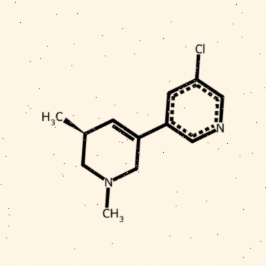 C[C@H]1C=C(c2cncc(Cl)c2)CN(C)C1